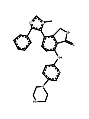 Cn1cnc(-c2ccccc2)c1-c1ccc(Nc2ccc(N3CCNCC3)cn2)c2c1CNC2=O